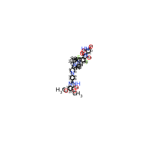 [2H]C1([2H])N(CC2CCN(c3ccc(-c4nc5cc(OC)cc(OC)c5c(=O)[nH]4)cc3)CC2)C([2H])([2H])C([2H])([2H])N(c2cc(F)c3c(c2F)C(=O)N(C2CCC(=O)NC2=O)C3=O)C1([2H])[2H]